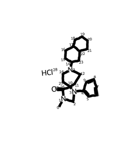 CN1CN(c2ccccc2)C2(CCN(C3CCC4CCCCC4C3)CC2)C1=O.Cl